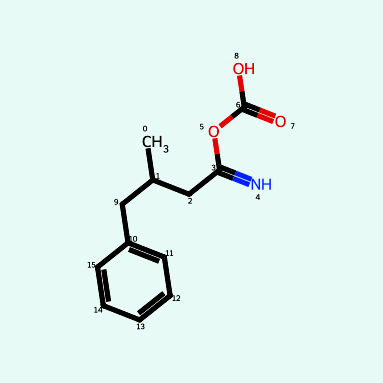 CC(CC(=N)OC(=O)O)Cc1ccccc1